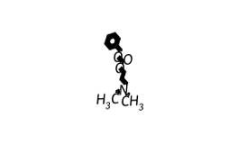 CCN(CC)CCCOC(=O)OCc1ccccc1